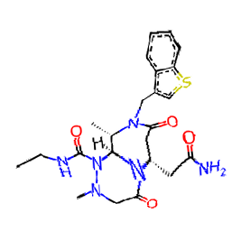 CCNC(=O)N1[C@H]2[C@H](C)N(Cc3csc4ccccc34)C(=O)[C@H](CC(N)=O)N2C(=O)CN1C